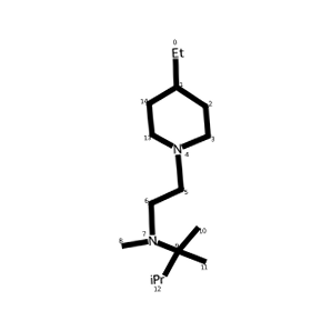 CCC1CCN(CCN(C)C(C)(C)C(C)C)CC1